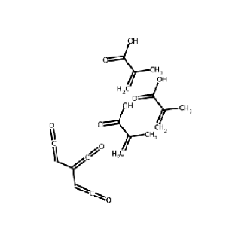 C=C(C)C(=O)O.C=C(C)C(=O)O.C=C(C)C(=O)O.O=C=CC(=C=O)C=C=O